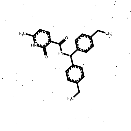 O=C(NC(c1ccc(CC(F)(F)F)cc1)c1ccc(CC(F)(F)F)cc1)c1ccc(C(F)(F)F)[nH]c1=O